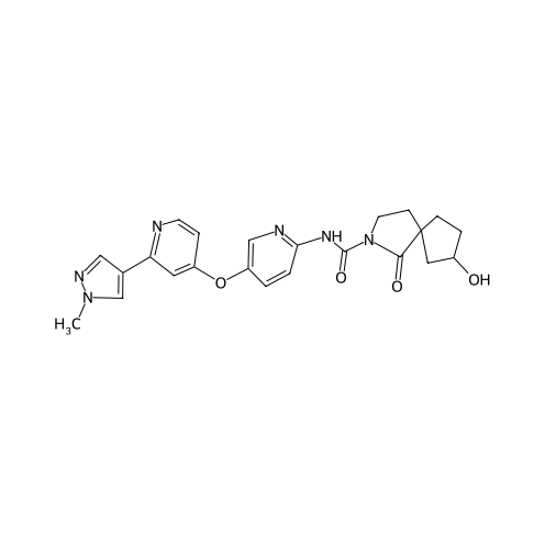 Cn1cc(-c2cc(Oc3ccc(NC(=O)N4CCC5(CCC(O)C5)C4=O)nc3)ccn2)cn1